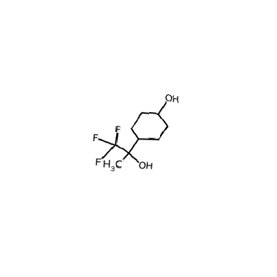 CC(O)(C1CCC(O)CC1)C(F)(F)F